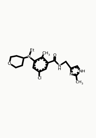 CCN(c1cc(Cl)cc(C(=O)NCc2c[nH]c(C)n2)c1C)C1CCOCC1